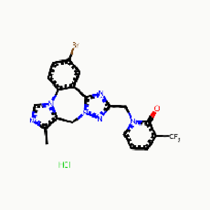 Cc1ncn2c1Cn1nc(Cn3cccc(C(F)(F)F)c3=O)nc1-c1cc(Br)ccc1-2.Cl